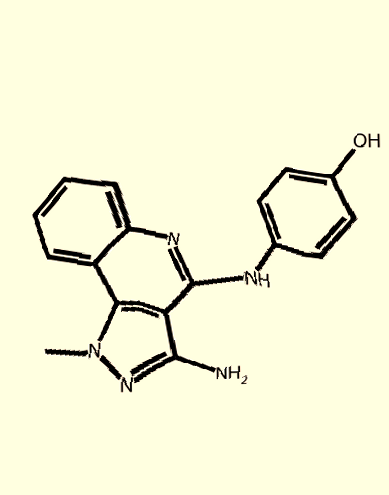 Cn1nc(N)c2c(Nc3ccc(O)cc3)nc3ccccc3c21